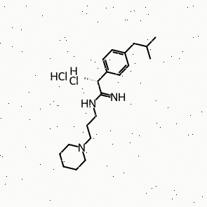 CC(C)Cc1ccc([C@@H](C)C(=N)NCCCN2CCCCC2)cc1.Cl.Cl